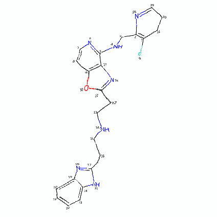 FC1=C(CNc2nccc3oc(CCNCCc4nc5ccccc5[nH]4)nc23)N=CCC1